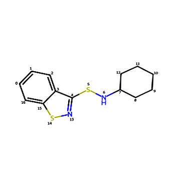 c1ccc2c(SNC3CCCCC3)nsc2c1